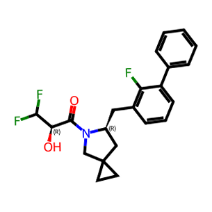 O=C([C@@H](O)C(F)F)N1CC2(CC2)C[C@@H]1Cc1cccc(-c2ccccc2)c1F